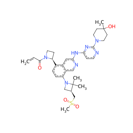 C=CC(=O)N1CC[C@H]1c1ccc(N2C[C@H](CS(C)(=O)=O)C2(C)C)c2cnc(Nc3ccnc(N4CCC(C)(O)CC4)n3)cc12